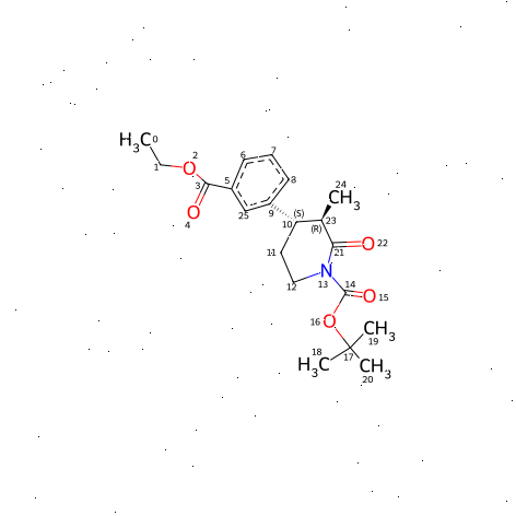 CCOC(=O)c1cccc([C@H]2CCN(C(=O)OC(C)(C)C)C(=O)[C@@H]2C)c1